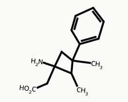 CC1C(N)(CC(=O)O)CC1(C)c1ccccc1